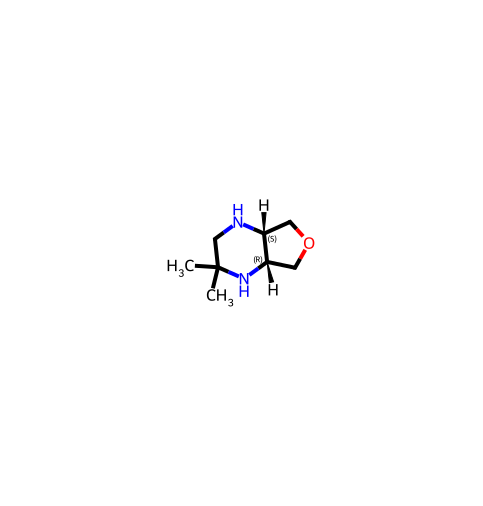 CC1(C)CN[C@@H]2COC[C@@H]2N1